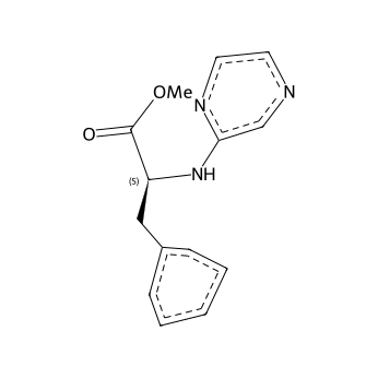 COC(=O)[C@H](Cc1ccccc1)Nc1cnccn1